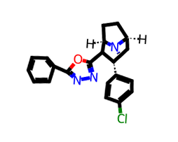 CN1[C@H]2CC[C@@H]1C(c1nnc(-c3ccccc3)o1)[C@@H](c1ccc(Cl)cc1)C2